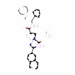 O=C(N[C@H](CN1CCOCC1)c1ccccc1)c1cc2c(=O)[nH]c(-c3ccc4ccccc4c3)cn2n1.O=CO